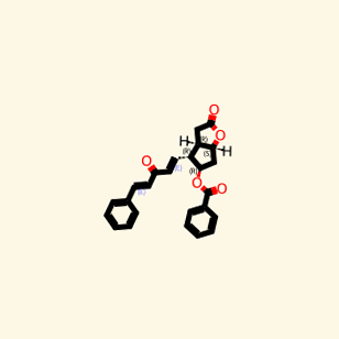 O=C(/C=C/c1ccccc1)/C=C/[C@@H]1[C@H]2CC(=O)O[C@H]2C[C@H]1OC(=O)c1ccccc1